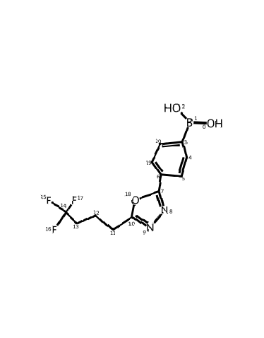 OB(O)c1ccc(-c2nnc(CCCC(F)(F)F)o2)cc1